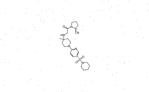 CC1(NCC(=O)N2CCC[C@H]2C#N)CCN(c2ccc(S(=O)(=O)N3CCCCC3)cn2)CC1